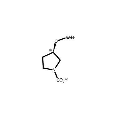 CSO[C@@H]1CCN(C(=O)O)C1